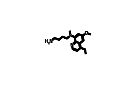 CCc1ccnc2c(N(C)CCCCN)cc(OC)cc12